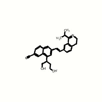 CC(C)C1=NCCc2ccc(C=Cc3cc(C(CO)CCO)c4cc(C#N)ccc4c3)cc21